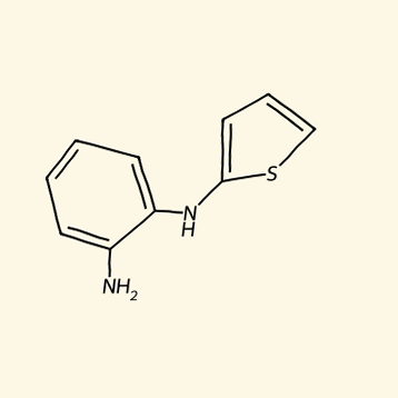 Nc1ccccc1Nc1cccs1